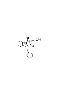 N=C1N[C@](CCC2CCCCC2)(CC2CCCCC2)C(=O)N1CCO